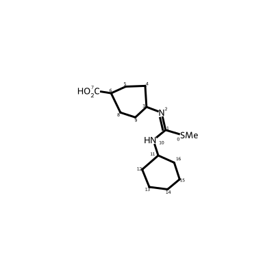 CSC(=NC1CCC(C(=O)O)CC1)NC1CCCCC1